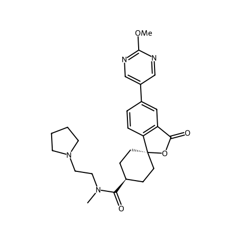 COc1ncc(-c2ccc3c(c2)C(=O)O[C@]32CC[C@H](C(=O)N(C)CCN3CCCC3)CC2)cn1